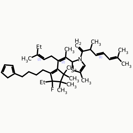 C=C(C(C)/C=C/C=C(C)C)N1C=C(C)SC1/C(C)=C(/C/C=C(/C)CC)C1=C(CCCCC2=CC=CC2)C(F)(CC)C(C)(C)C1(C)C